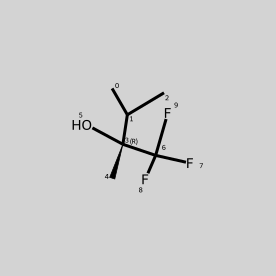 CC(C)[C@@](C)(O)C(F)(F)F